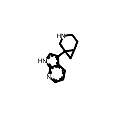 c1cnc2[nH]cc(C34CNCCC3C4)c2c1